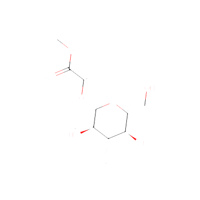 COC(=O)CO[C@@H]1O[C@H](CO)[C@@H](O)[C@H](O)[C@H]1O